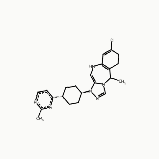 Cc1nccc([C@H]2CC[C@H](N3N=CN4C3=CNC3=C(CCC(Cl)=C3)C4C)CC2)n1